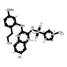 COc1ccc(CCO)c(Nc2nc3ccccc3nc2NS(=O)(=O)c2cn(C)cn2)c1.[K]